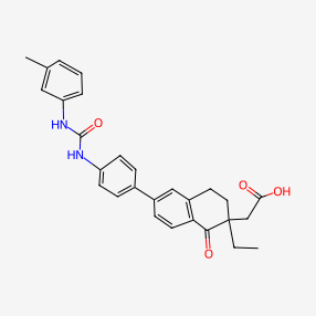 CCC1(CC(=O)O)CCc2cc(-c3ccc(NC(=O)Nc4cccc(C)c4)cc3)ccc2C1=O